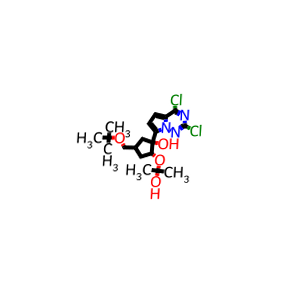 CC(C)(C)OCC1CC(OC(C)(C)O)C(O)(c2ccc3c(Cl)nc(Cl)nn23)C1